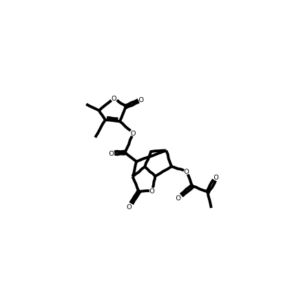 CC(=O)C(=O)OC1C2CC3C1OC(=O)C3C2C(=O)OC1=C(C)C(C)OC1=O